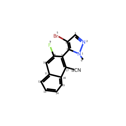 Cn1ncc(Br)c1-c1c(F)cc2ccccc2c1C#N